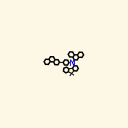 CC1(C)c2ccccc2-c2c(N(c3ccc(-c4ccc5c(ccc6ccccc65)c4)cc3)c3cc4ccccc4c4ccccc34)cccc21